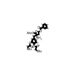 COC(=O)[C@@](N)(CCOC(=O)c1ccccc1)Cc1ccc(OC(=O)CC(C)(C)C)c(OC(=O)CC(C)(C)C)c1